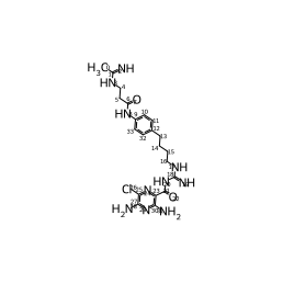 CC(=N)NCCC(=O)Nc1ccc(CCCCNC(=N)NC(=O)c2nc(Cl)c(N)nc2N)cc1